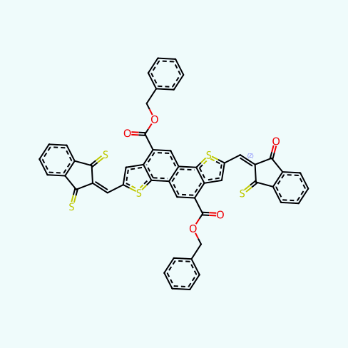 O=C1/C(=C/c2cc3c(C(=O)OCc4ccccc4)cc4c(cc(C(=O)OCc5ccccc5)c5cc(C=C6C(=S)c7ccccc7C6=S)sc54)c3s2)C(=S)c2ccccc21